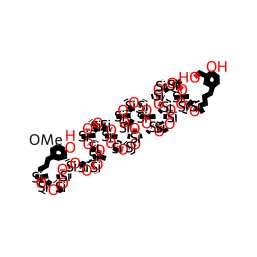 COc1cc(CCC[Si](C)(C)O[Si](C)(C)O[Si](C)(C)O[Si](C)(C)O[Si](C)(C)O[Si](C)(C)O[Si](C)(C)O[Si](C)(C)O[Si](C)(C)O[Si](C)(C)O[Si](C)(C)O[Si](C)(C)O[Si](C)(C)O[Si](C)(C)O[Si](C)(C)O[Si](C)(C)O[Si](C)(C)O[Si](C)(C)O[Si](C)(C)O[Si](C)(C)O[Si](C)(C)O[Si](C)(C)O[Si](C)(C)O[Si](C)(C)O[Si](C)(C)O[Si](C)(C)O[Si](C)(C)O[Si](C)(C)O[Si](C)(C)O[Si](C)(C)O[Si](C)(C)CCCc2ccc(O)c(CO)c2)ccc1O